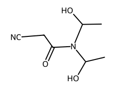 CC(O)N(C(=O)CC#N)C(C)O